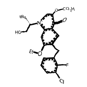 CCOc1cc2c(cc1Cc1cccc(Cl)c1F)c(=O)c(OC(=O)O)cn2[C@H](CO)C(C)(C)C